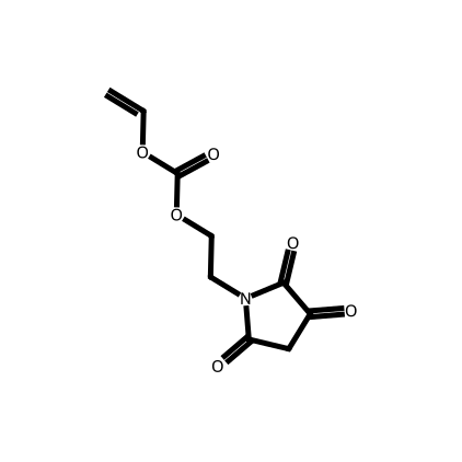 C=COC(=O)OCCN1C(=O)CC(=O)C1=O